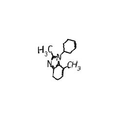 CC1=CCCc2nc(C)n(C3CC=CCC3)c21